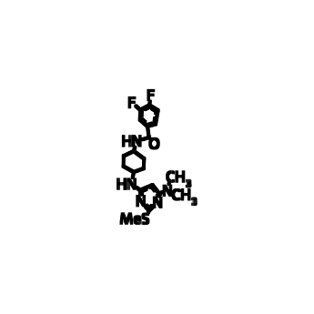 CSc1nc(NC2CCC(NC(=O)c3ccc(F)c(F)c3)CC2)cc(N(C)C)n1